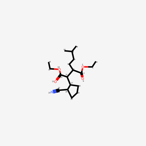 CCOC(=O)C(CCC(C)C)C(C(=O)OCC)C1CCCC1C#N